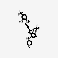 COc1cc(C(F)(F)F)ccc1NCC#Cc1cc2c(NC3CCN(C)CC3)cccc2n1CC(F)(F)F